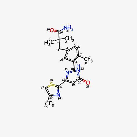 CC(C)(Cc1ccc(C(F)(F)F)c(-c2nc(-c3nc(C(F)(F)F)cs3)cc(=O)[nH]2)c1)C(N)=O